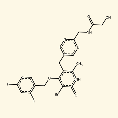 Cc1[nH]c(=O)c(Br)c(OCc2ccc(F)cc2F)c1Cc1cnc(CNC(=O)CO)nc1